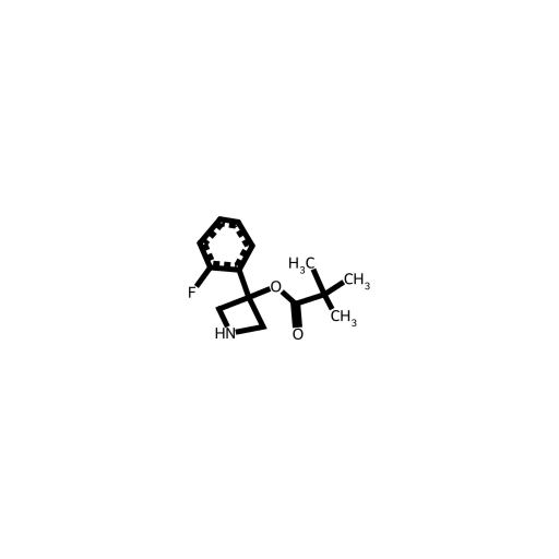 CC(C)(C)C(=O)OC1(c2ccccc2F)CNC1